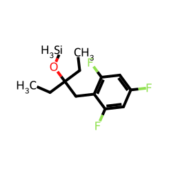 CCC(CC)(Cc1c(F)cc(F)cc1F)O[SiH3]